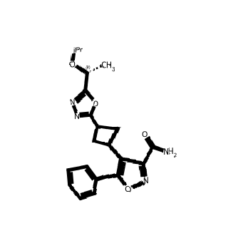 CC(C)O[C@H](C)c1nnc(C2CC(c3c(C(N)=O)noc3-c3ccccc3)C2)o1